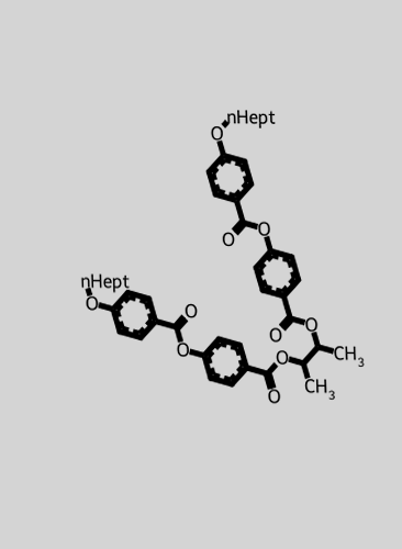 CCCCCCCOc1ccc(C(=O)Oc2ccc(C(=O)OC(C)C(C)OC(=O)c3ccc(OC(=O)c4ccc(OCCCCCCC)cc4)cc3)cc2)cc1